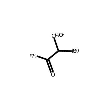 CCC(C)C([C]=O)C(=O)C(C)C